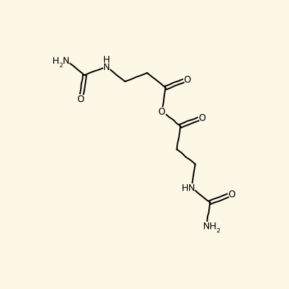 NC(=O)NCCC(=O)OC(=O)CCNC(N)=O